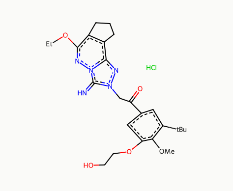 CCOc1nn2c(=N)n(CC(=O)c3cc(OCCO)c(OC)c(C(C)(C)C)c3)nc2c2c1CCC2.Cl